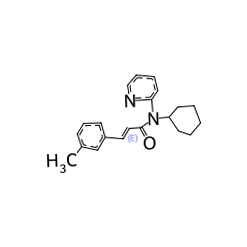 Cc1cccc(/C=C/C(=O)N(c2ccccn2)C2CCCCC2)c1